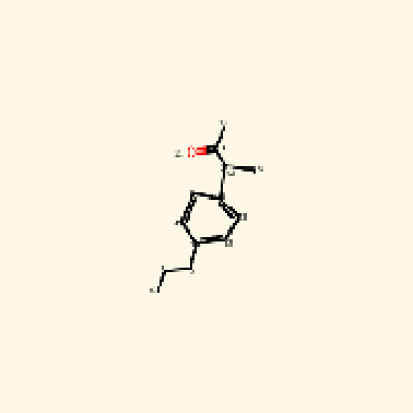 CCCc1ccc([C@H](C)C(C)=O)cc1